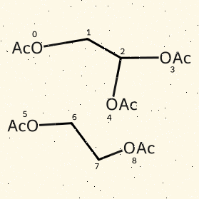 CC(=O)OCC(OC(C)=O)OC(C)=O.CC(=O)OCCOC(C)=O